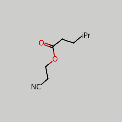 CC(C)CCC(=O)OCCC#N